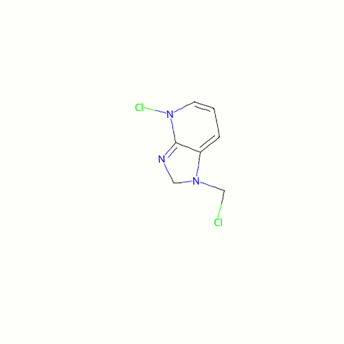 ClCN1CN=C2C1=CC=CN2Cl